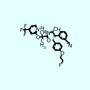 C[C@H](NC(=O)C(C)(C)Oc1cc(C(F)(F)F)ccn1)[C@@H](Cc1ccc(OCCF)cc1)c1cccc(C#N)c1